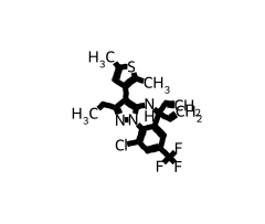 C=CC1(C=C)Nc2c(-c3cc(C)sc3C)c(CC)nn2-c2c(Cl)cc(C(F)(F)F)cc21